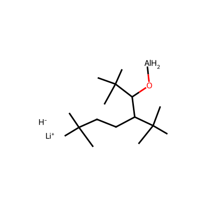 CC(C)(C)CCC(C([O][AlH2])C(C)(C)C)C(C)(C)C.[H-].[Li+]